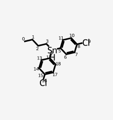 CCC[CH2][SnH]([c]1ccc(Cl)cc1)[c]1ccc(Cl)cc1